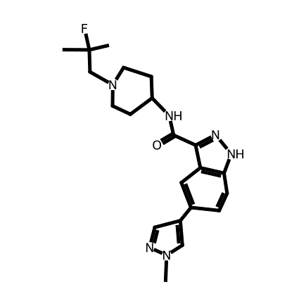 Cn1cc(-c2ccc3[nH]nc(C(=O)NC4CCN(CC(C)(C)F)CC4)c3c2)cn1